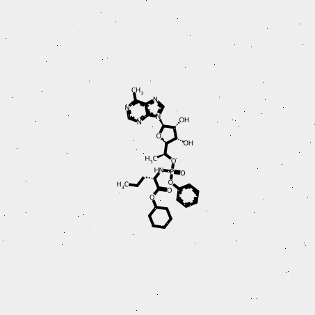 CCC[C@H](NP(=O)(Oc1ccccc1)O[C@@H](C)[C@H]1O[C@@H](n2cnc3c(C)ncnc32)[C@H](O)[C@@H]1O)C(=O)OC1CCCCC1